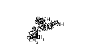 CC(=O)Oc1cccc(C(=O)NCCCCN(Cc2ccc(OCC(=O)O)cc2)C(=O)c2cccc(OC(C)=O)c2OC(C)=O)c1OC(C)=O